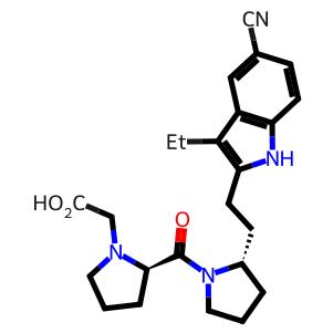 CCc1c(CC[C@@H]2CCCN2C(=O)[C@H]2CCCN2CC(=O)O)[nH]c2ccc(C#N)cc12